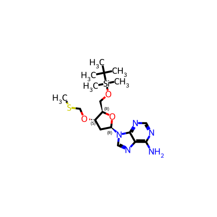 CSCO[C@H]1C[C@H](n2cnc3c(N)ncnc32)O[C@@H]1CO[Si](C)(C)C(C)(C)C